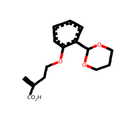 C=C(CCOc1ccccc1C1OCCCO1)C(=O)O